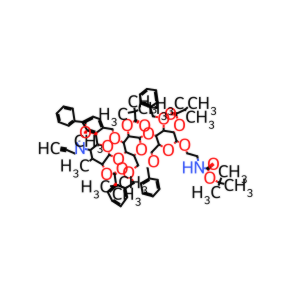 C#CCN(C)C1C(COCc2ccccc2)OC(OC2C(COCc3ccccc3)OC(OC3C(COCc4ccccc4)OC(OCCNC(=O)OC(C)(C)C)C(OC(=O)C(C)(C)C)C3OCc3ccccc3)C(OC(=O)C(C)(C)C)C2OCc2ccccc2)C(OC(=O)C(C)(C)C)C1C